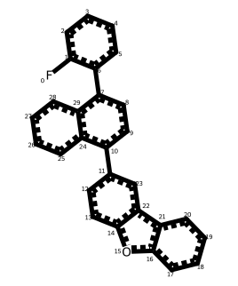 Fc1ccccc1-c1ccc(-c2ccc3oc4ccccc4c3c2)c2ccccc12